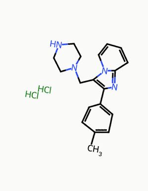 Cc1ccc(-c2nc3ccccn3c2CN2CCNCC2)cc1.Cl.Cl